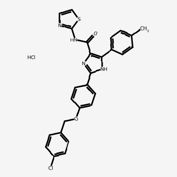 Cc1ccc(-c2[nH]c(-c3ccc(OCc4ccc(Cl)cc4)cc3)nc2C(=O)Nc2nccs2)cc1.Cl